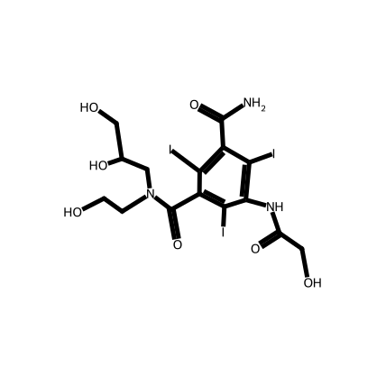 NC(=O)c1c(I)c(NC(=O)CO)c(I)c(C(=O)N(CCO)CC(O)CO)c1I